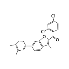 Cc1ccc(-c2ccc3c(C)c(C(=O)c4ccc(Cl)cc4Cl)oc3c2)cc1C